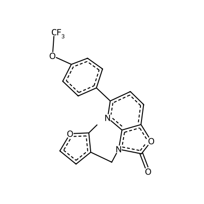 Cc1occc1Cn1c(=O)oc2ccc(-c3ccc(OC(F)(F)F)cc3)nc21